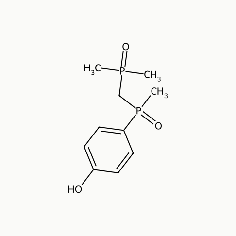 CP(C)(=O)CP(C)(=O)c1ccc(O)cc1